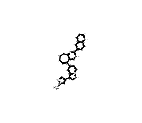 Cn1cc(-c2cnn3ccc(C4=CCCCc5nc(-c6ccc7ncccc7c6)ncc54)cc23)cn1